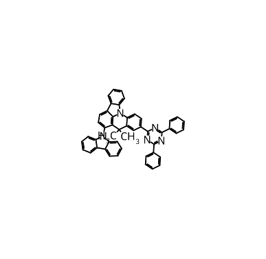 CC1(C)c2cc(-c3nc(-c4ccccc4)nc(-c4ccccc4)n3)ccc2-n2c3ccccc3c3ccc(-n4c5ccccc5c5ccccc54)c1c32